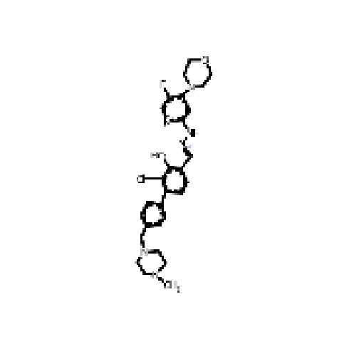 CN1CCN(Cc2ccc(-c3ccc(/C=N/Nc4cc(N5CCOCC5)c(F)cn4)c(O)c3Cl)cc2)CC1